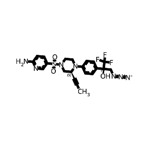 CC#C[C@H]1CN(S(=O)(=O)c2ccc(N)nc2)CCN1c1ccc([C@@](O)(CN=[N+]=[N-])C(F)(F)F)cc1